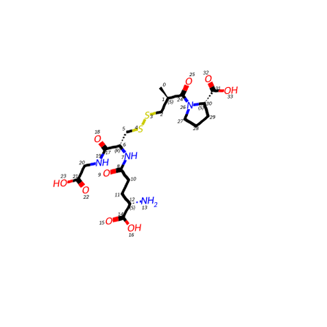 C[C@H](CSSC[C@H](NC(=O)CC[C@H](N)C(=O)O)C(=O)NCC(=O)O)C(=O)N1CCC[C@H]1C(=O)O